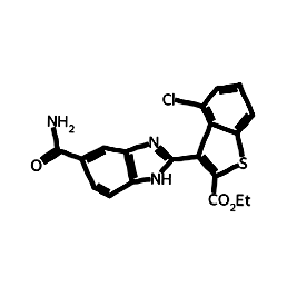 CCOC(=O)c1sc2cccc(Cl)c2c1-c1nc2cc(C(N)=O)ccc2[nH]1